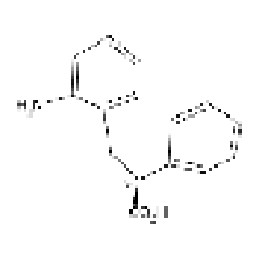 Nc1ccccc1C[C@H](C(=O)O)c1ccccc1